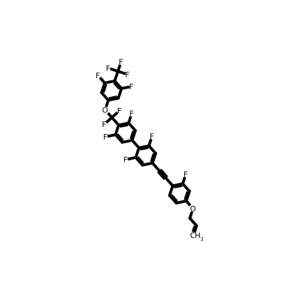 C=CCOc1ccc(C#Cc2cc(F)c(-c3cc(F)c(C(F)(F)Oc4cc(F)c(C(F)(F)F)c(F)c4)c(F)c3)c(F)c2)c(F)c1